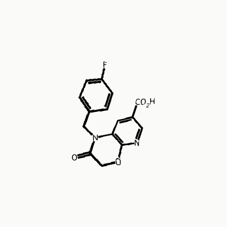 O=C(O)c1cnc2c(c1)N(Cc1ccc(F)cc1)C(=O)CO2